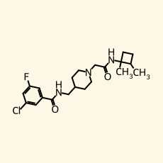 CC1CCC1(C)NC(=O)CN1CCC(CNC(=O)c2cc(F)cc(Cl)c2)CC1